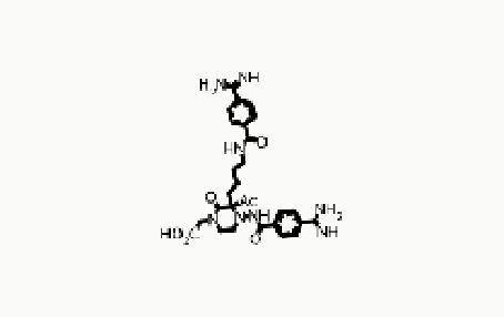 CC(=O)C1(CCCCNC(=O)c2ccc(C(=N)N)cc2)C(=O)N(CC(=O)O)CCN1NC(=O)c1ccc(C(=N)N)cc1